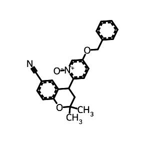 CC1(C)CC(c2ccc(OCc3ccccc3)c[n+]2[O-])c2cc(C#N)ccc2O1